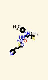 Cc1ccc(-n2nc(C3(C)CSC3)cc2NC(=O)Nc2ncc(CCc3ccncc3)s2)cc1